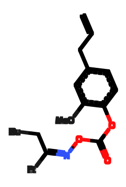 C=CCc1ccc(OC(=O)ON=C(CC)CC(C)CC)c(OC)c1